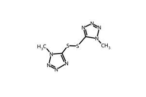 Cn1nnnc1SSc1nnnn1C